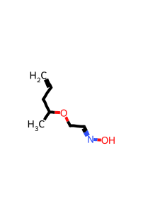 C=CCC(C)OCC=NO